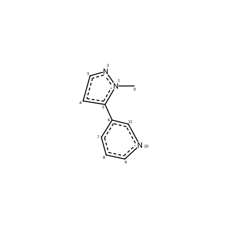 Cn1nccc1-c1cccnc1